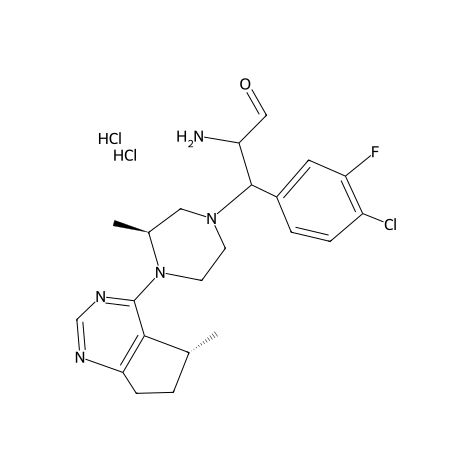 C[C@@H]1CCc2ncnc(N3CCN(C(c4ccc(Cl)c(F)c4)C(N)C=O)C[C@@H]3C)c21.Cl.Cl